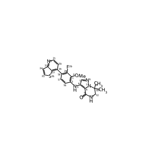 COc1c(Nc2cnn3c2C(=O)NCC3(C)C)ccc(-c2ccnc3ccsc23)c1F